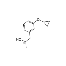 C[C@H](O)Cc1cccc(OC2CC2)c1